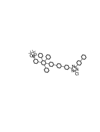 CC1(C)OB(c2cccc(-c3cc(-c4ccccc4)c(-c4ccc(-c5ccc(-c6ccc(-c7nc(Cl)nc(-c8ccc(-c9ccccc9)cc8)n7)cc6)cc5)cc4)c(-c4ccccc4)c3-c3ccccc3)c2)OC1(C)C